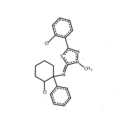 Cn1nc(-c2ccccc2Cl)sc1=NC1(c2ccccc2)CCCCC1Cl